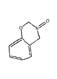 O=[N+]1COc2ccccc2C1